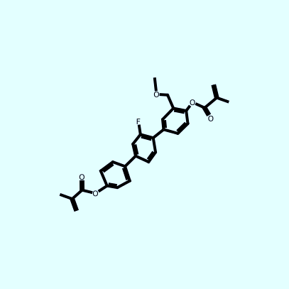 C=C(C)C(=O)Oc1ccc(-c2ccc(-c3ccc(OC(=O)C(=C)C)c(COC)c3)c(F)c2)cc1